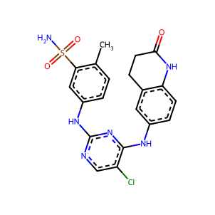 Cc1ccc(Nc2ncc(Cl)c(Nc3ccc4c(c3)CCC(=O)N4)n2)cc1S(N)(=O)=O